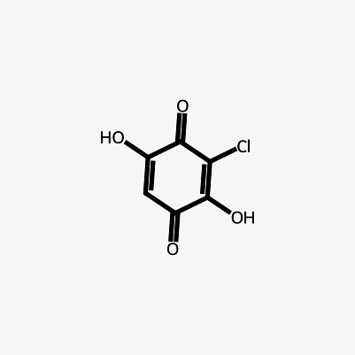 O=C1C=C(O)C(=O)C(Cl)=C1O